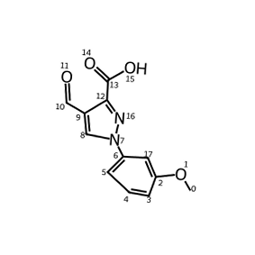 COc1cccc(-n2cc(C=O)c(C(=O)O)n2)c1